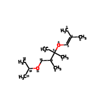 CC(C)=COC(C)(C)C(C)COC(C)C